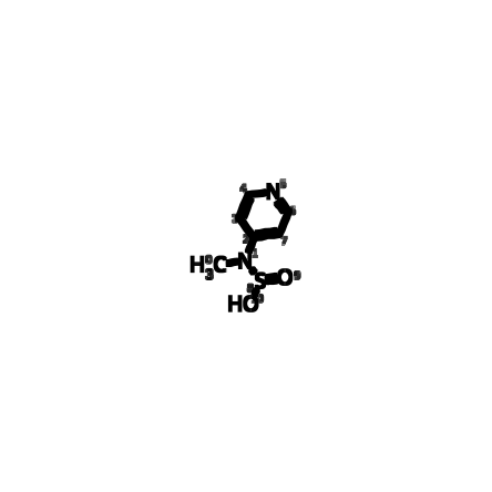 CN(c1ccncc1)S(=O)O